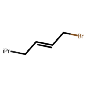 CC(C)C/C=C/CBr